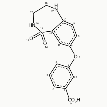 O=C(O)c1cccc(Oc2ccc3c(c2)S(=O)(=O)NCCN3)c1